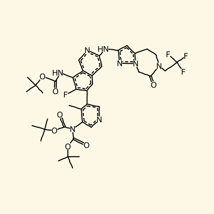 Cc1c(-c2cc3cc(Nc4cc5n(n4)CC(=O)N(CC(F)(F)F)CC5)ncc3c(NC(=O)OC(C)(C)C)c2F)cncc1N(C(=O)OC(C)(C)C)C(=O)OC(C)(C)C